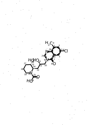 Cc1cc(Cl)cc2c(=O)n(C[C@H](O)C[C@@H]3[C@@H](O)CCCN3C(=O)O)cnc12